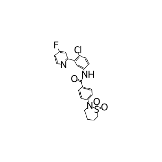 O=C(Nc1ccc(Cl)c(-c2cc(F)ccn2)c1)c1ccc(N2CCCCS2(=O)=O)cc1